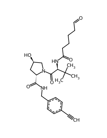 C#Cc1ccc(CNC(=O)[C@@H]2C[C@@H](O)CN2C(=O)[C@@H](NC(=O)CCCCC=O)C(C)(C)C)cc1